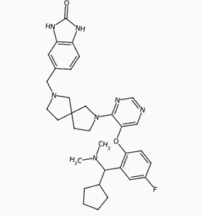 CN(C)C(c1cc(F)ccc1Oc1cncnc1N1CCC2(CCN(Cc3ccc4[nH]c(=O)[nH]c4c3)C2)C1)C1CCCC1